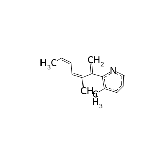 C=C(/C(C)=C\C=C/C)c1ncccc1C